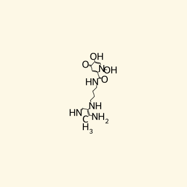 C/C(N)=C(\C=N)NCCCCNC(=O)c1cc(=O)c(O)cn1O